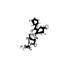 CC1=NN(C(N)=S)C(=O)/C1=N/Nc1ccc(Cl)cc1C(=O)c1ccccc1